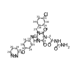 NC(=O)NC(=O)Cn1c(=O)[nH]/c(=N\c2ccc(Oc3cccnn3)cc2)n(Cc2ccc(Cl)cc2)c1=O